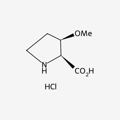 CO[C@@H]1CCN[C@@H]1C(=O)O.Cl